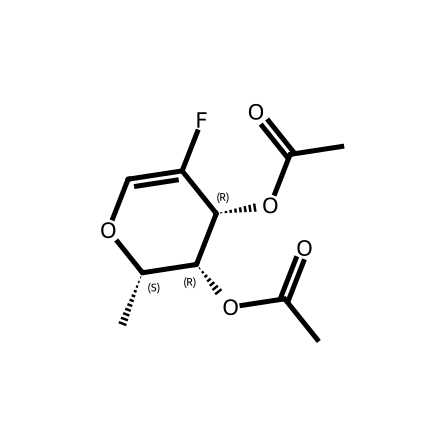 CC(=O)O[C@@H]1[C@H](C)OC=C(F)[C@@H]1OC(C)=O